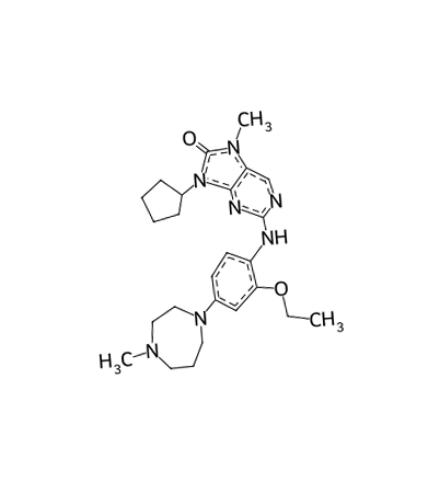 CCOc1cc(N2CCCN(C)CC2)ccc1Nc1ncc2c(n1)n(C1CCCC1)c(=O)n2C